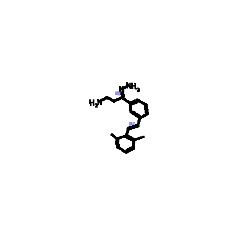 Cc1cccc(C)c1/C=C/c1cccc(/C(CCN)=N\N)c1